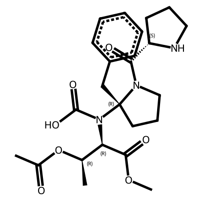 COC(=O)[C@@H]([C@@H](C)OC(C)=O)N(C(=O)O)[C@@]1(Cc2ccccc2)CCCN1C(=O)[C@@H]1CCCN1